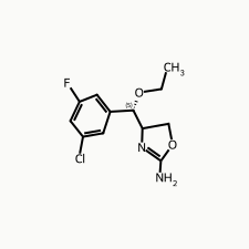 CCO[C@@H](c1cc(F)cc(Cl)c1)C1COC(N)=N1